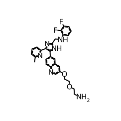 Cc1cccc(-c2nc(CNc3cccc(F)c3F)[nH]c2-c2ccc3ncc(OCCOCCN)cc3c2)n1